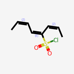 C\C=C/C=C(\C=C/C)S(=O)(=O)Cl